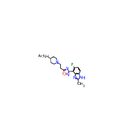 CC(=O)NC1CCN(CCc2nc(-c3c(F)ccc4[nH]c(C)nc34)no2)CC1